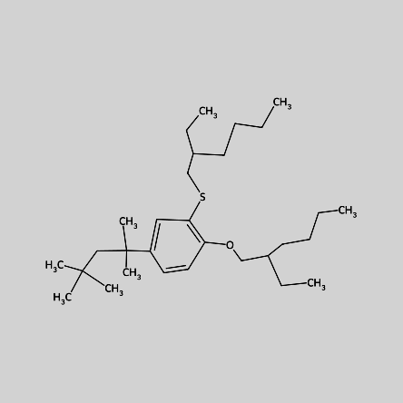 CCCCC(CC)COc1ccc(C(C)(C)CC(C)(C)C)cc1SCC(CC)CCCC